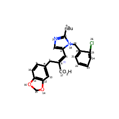 CCCCc1ncc(/C=C(\Cc2ccc3c(c2)OCO3)C(=O)O)n1Cc1ccccc1Cl